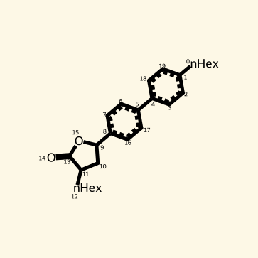 CCCCCCc1ccc(-c2ccc(C3CC(CCCCCC)C(=O)O3)cc2)cc1